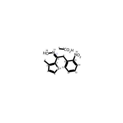 CC(=O)O.Cc1ccsc1/C(Cc1ccccc1[N+](=O)[O-])=N\O